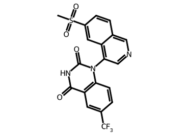 CS(=O)(=O)c1ccc2cncc(-n3c(=O)[nH]c(=O)c4cc(C(F)(F)F)ccc43)c2c1